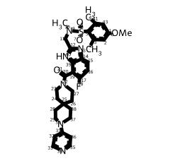 COc1cc(C)c(S(=O)(=O)N(C)Cc2nc3ccc(F)c(C(=O)N4CCC5(CC4)CCN(c4ccncc4)CC5)c3[nH]2)c(C)c1